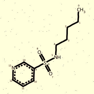 CCCCCNS(=O)(=O)c1cccnc1